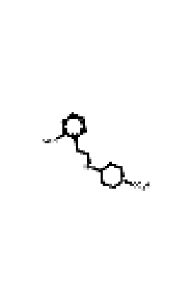 CNc1ccccc1CCNC1CCN(C(=O)O)CC1